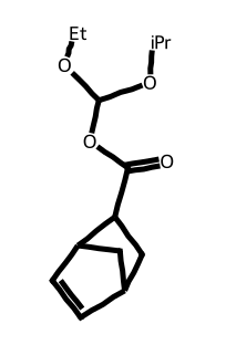 CCOC(OC(=O)C1CC2C=CC1C2)OC(C)C